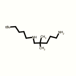 CC(C)(C)CCCCNCC(C)(C)CCCN